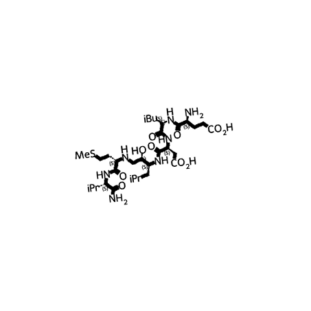 CC[C@H](C)[C@H](NC(=O)[C@@H](N)CCC(=O)O)C(=O)N[C@@H](CC(=O)O)C(=O)N[C@@H](CC(C)C)[C@@H](O)CN[C@@H](CCSC)C(=O)N[C@H](C(N)=O)C(C)C